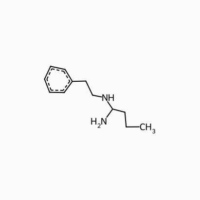 CCCC(N)NCCc1ccccc1